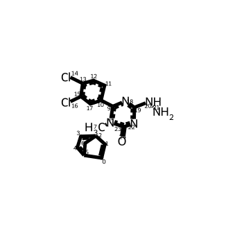 C1=CC2=CC=C1C2.Cn1c(-c2ccc(Cl)c(Cl)c2)nc(NN)nc1=O